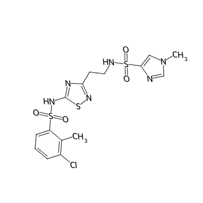 Cc1c(Cl)cccc1S(=O)(=O)Nc1nc(CCNS(=O)(=O)c2cn(C)cn2)ns1